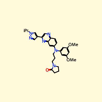 COc1cc(OC)cc(N(CCCN2CCCC2=O)c2ccc3ncc(-c4cnn(C(C)C)c4)nc3c2)c1